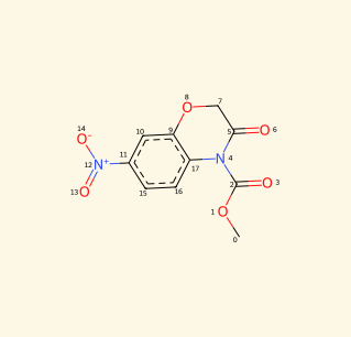 COC(=O)N1C(=O)COc2cc([N+](=O)[O-])ccc21